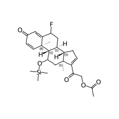 CC(=O)OCC(=O)C1=CC[C@H]2[C@@H]3CC(F)C4=CC(=O)C=C[C@]4(C)[C@H]3C(O[Si](C)(C)C)C[C@]12C